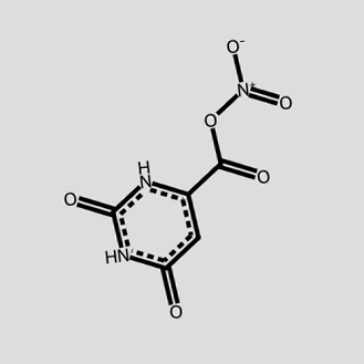 O=C(O[N+](=O)[O-])c1cc(=O)[nH]c(=O)[nH]1